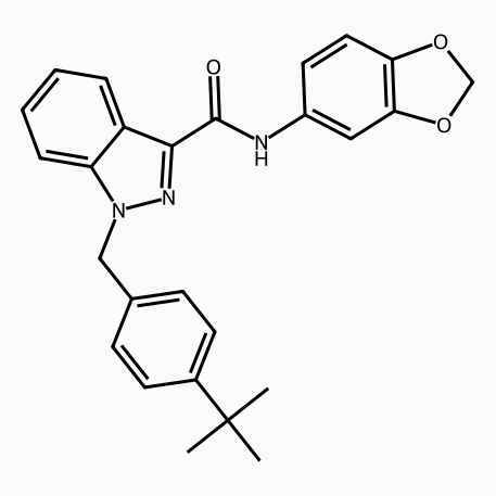 CC(C)(C)c1ccc(Cn2nc(C(=O)Nc3ccc4c(c3)OCO4)c3ccccc32)cc1